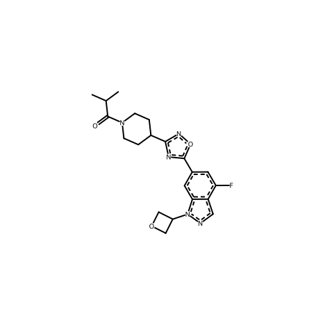 CC(C)C(=O)N1CCC(c2noc(-c3cc(F)c4cnn(C5COC5)c4c3)n2)CC1